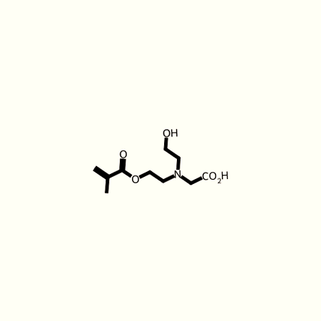 C=C(C)C(=O)OCCN(CCO)CC(=O)O